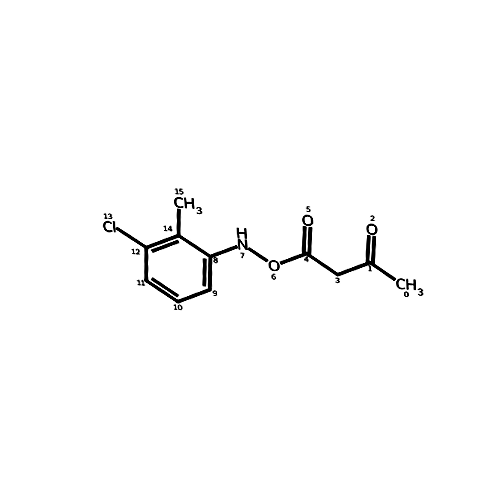 CC(=O)CC(=O)ONc1cccc(Cl)c1C